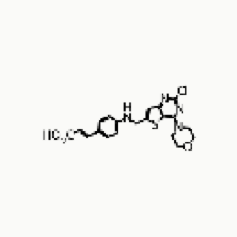 O=C(O)/C=C/c1ccc(NCc2cc3nc(Cl)nc(N4CCOCC4)c3s2)cc1